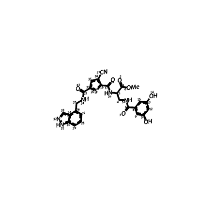 COC(=O)C(CNC(=O)c1cc(O)cc(O)c1)NC(=O)c1sc(C(=O)NCc2cccc3[nH]ncc23)cc1C#N